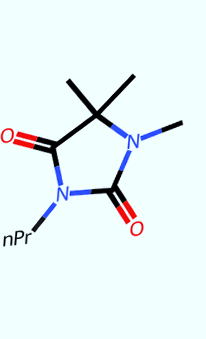 [CH2]CCN1C(=O)N(C)C(C)(C)C1=O